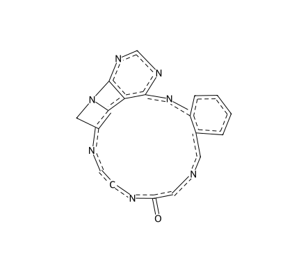 O=c1cncc2ccccc2nc2ncnc3c2c2c(nccn1)CN32